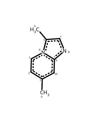 Cc1ccn2c(C)[c]nc2c1